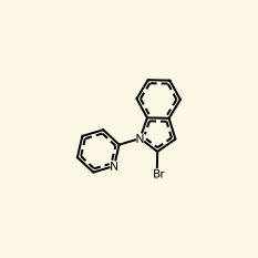 Brc1cc2ccccc2n1-c1ccccn1